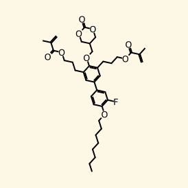 C=C(C)C(=O)OCCCc1cc(-c2ccc(OCCCCCCCC)c(F)c2)cc(CCCOC(=O)C(=C)C)c1OCC1COC(=O)OC1